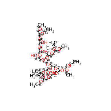 C=CCOCC(COC(COCC(O)COCC(COCC)OCC=C)COCC(COC(COCC(CO)OCC(O)COCC(O)COCC(COCC)OCC=C)COC(CC)COCC(COCC)OCC=C)OCC(COCC=C)OCC)OCC